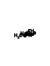 C#CCN(C)C(CC(=O)OCCCC)CN1CCN(c2ccccc2)CC1